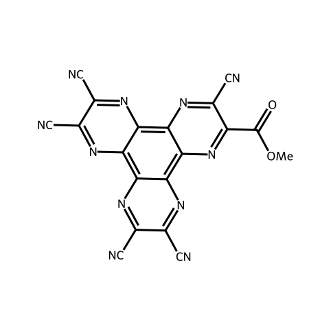 COC(=O)c1nc2c3nc(C#N)c(C#N)nc3c3nc(C#N)c(C#N)nc3c2nc1C#N